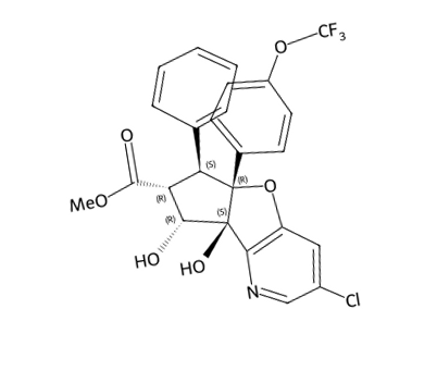 COC(=O)[C@H]1[C@@H](O)[C@@]2(O)c3ncc(Cl)cc3O[C@@]2(c2ccc(OC(F)(F)F)cc2)[C@@H]1c1ccccc1